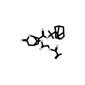 C=C(C)C(=O)OCC(=O)OC1C2CC(=O)OC1C(C(=O)OC(C)(C)C13CC4CC(CC(C4)C1)C3)C2